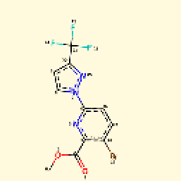 COC(=O)c1nc(-n2ccc(C(F)(F)F)n2)ccc1Br